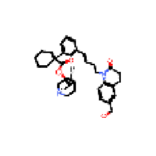 O=Cc1ccc2c(c1)CCC(=O)N2CC/C=C/c1cccc(C2(C(=O)O[C@H]3CN4CCC3CC4)CCCCC2)c1